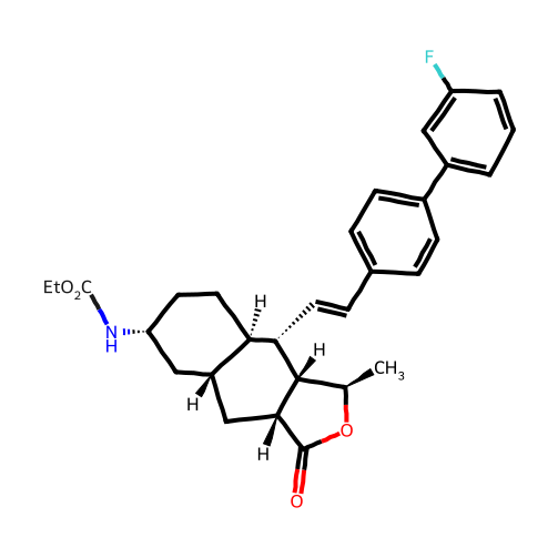 CCOC(=O)N[C@@H]1CC[C@@H]2[C@@H](C1)C[C@H]1C(=O)O[C@H](C)[C@H]1[C@H]2/C=C/c1ccc(-c2cccc(F)c2)cc1